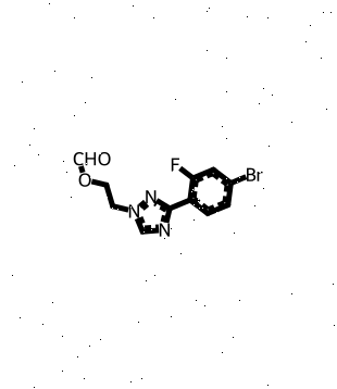 O=COCCn1cnc(-c2ccc(Br)cc2F)n1